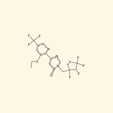 CCSc1cc(C(F)(F)F)cnc1-c1cc(=O)n(CC(F)(F)C(F)C(F)(F)F)cn1